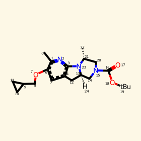 Cc1nc2c(cc1OCC1CC1)C[C@@H]1CN(C(=O)OC(C)(C)C)C[C@@H](C)N21